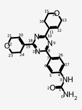 NC(=O)Nc1ccc(-c2nc(C3=CCOCC3)nc(C3=CCOCC3)n2)cc1